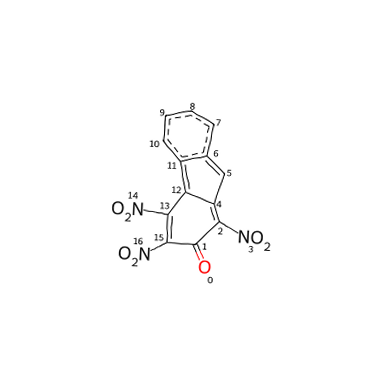 O=C1C([N+](=O)[O-])=C2C=c3ccccc3=C2C([N+](=O)[O-])=C1[N+](=O)[O-]